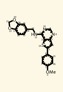 COc1ccc(-c2cc3ncnc(NCc4ccc5c(c4)OCO5)c3s2)cc1